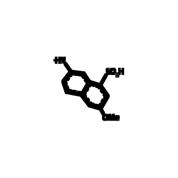 COc1cc(S(=O)(=O)O)c2cc([NH])ccc2c1